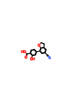 N#Cc1cc2c(c(-c3ccc(C(=O)O)c(O)c3)c1)OCC2